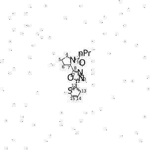 CCCC(=O)N1CCCC1c1nnc(-c2cccs2)o1